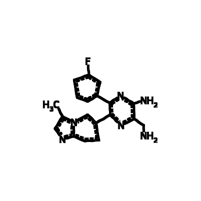 Cc1cnc2ccc(-c3nc(CN)c(N)nc3-c3cccc(F)c3)cn12